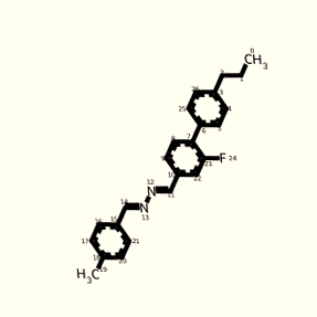 CCCc1ccc(-c2ccc(C=NN=Cc3ccc(C)cc3)cc2F)cc1